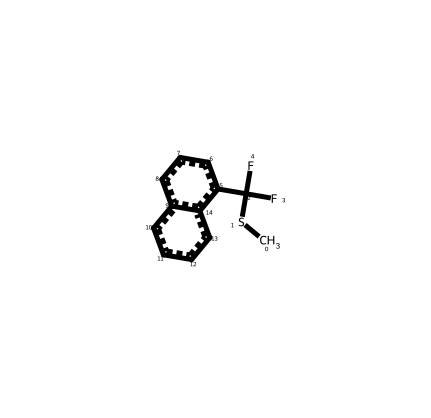 CSC(F)(F)c1cccc2ccccc12